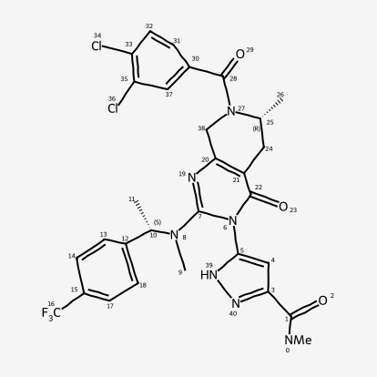 CNC(=O)c1cc(-n2c(N(C)[C@@H](C)c3ccc(C(F)(F)F)cc3)nc3c(c2=O)C[C@@H](C)N(C(=O)c2ccc(Cl)c(Cl)c2)C3)[nH]n1